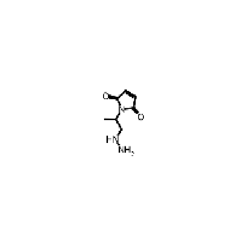 CC(CNN)N1C(=O)C=CC1=O